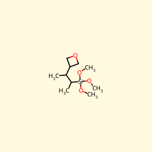 CO[Si](OC)(OC)C(C)C(C)C1COC1